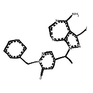 CC(c1cnn(Cc2ccccc2)c(=O)c1)n1nc(I)c2c(N)ncnc21